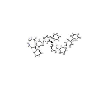 C=C1/C=C\C=C/CN(c2ccccc2)c2ccc(-c3ccc4c5ccccc5n(-c5nccc(-c6cccc(-c7ccc(-c8ccccc8)cc7)c6)n5)c4c3)cc21